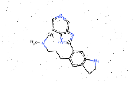 CN(C)CCCc1cc2c(cc1-c1nc3cnccc3[nH]1)NCC2